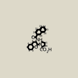 O=C(NC(CC1CCCCC1)C(=O)N1CCC[C@H]1C(=O)O)c1ccc2ccccc2c1